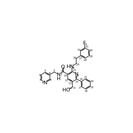 O=C(NCc1cccnc1)c1cc(CO)c(-c2ccccc2)nc1NCCc1cccc(F)c1